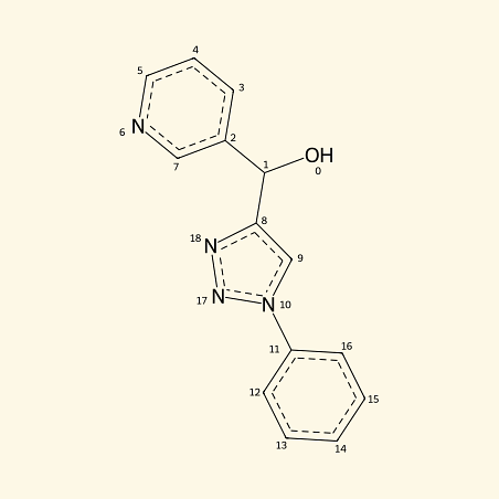 OC(c1cccnc1)c1cn(-c2ccccc2)nn1